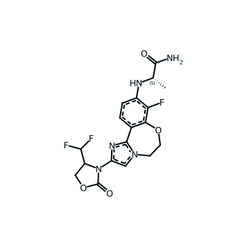 C[C@H](Nc1ccc2c(c1F)OCCn1cc(N3C(=O)OCC3C(F)F)nc1-2)C(N)=O